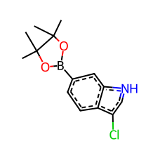 CC1(C)OB(c2ccc3c(Cl)c[nH]c3c2)OC1(C)C